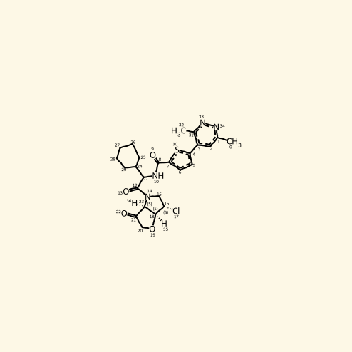 Cc1cc(-c2ccc(C(=O)NC(C(=O)N3C[C@H](Cl)[C@H]4OCC(=O)[C@H]43)C3CCCCC3)s2)c(C)nn1